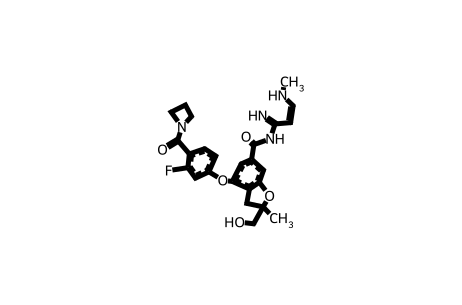 CN/C=C\C(=N)NC(=O)c1cc(Oc2ccc(C(=O)N3CCC3)c(F)c2)c2c(c1)OC(C)(CO)C2